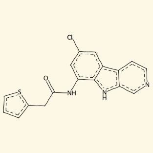 O=C(Cc1cccs1)Nc1cc(Cl)cc2c1[nH]c1cnccc12